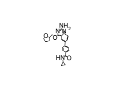 Nc1nc(OCC2CCCO2)c2cc(-c3ccc(C(=O)NC4CC4)cc3)ccc2n1